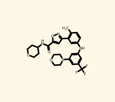 Cc1ccc(Nc2cc(N3CCOCC3)cc(C(F)(F)F)c2)cc1-c1cc(C(=O)NC2CCOCC2)on1